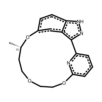 C[C@H]1CCOCCOc2cccc(n2)-c2n[nH]c3ccc(cc23)O1